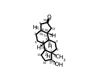 C[C@]12CC[C@H]3[C@@H](CC[C@H]4CC(=O)C[C@@H]43)[C@@H]1CC[C@@H]2O